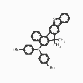 CC(C)(C)c1ccc(N(c2ccc(C(C)(C)C)cc2)c2cc3c(c4ccccc24)-c2cc4sc5ccccc5c4cc2C3(C)C)cc1